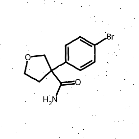 NC(=O)C1(c2ccc(Br)cc2)CCOC1